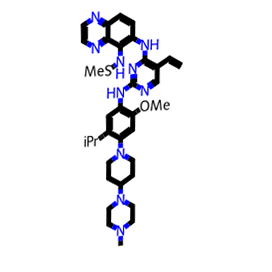 C=Cc1cnc(Nc2cc(C(C)C)c(N3CCC(N4CCN(C)CC4)CC3)cc2OC)nc1Nc1ccc2nccnc2c1NSC